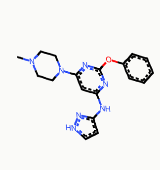 CN1CCN(c2cc(Nc3cc[nH]n3)nc(Oc3ccccc3)n2)CC1